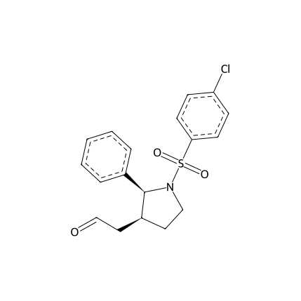 O=CC[C@@H]1CCN(S(=O)(=O)c2ccc(Cl)cc2)[C@@H]1c1ccccc1